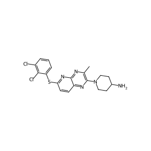 Cc1nc2nc(Sc3cccc(Cl)c3Cl)ccc2nc1N1CCC(N)CC1